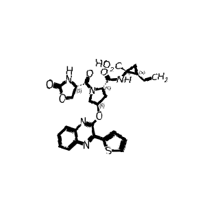 C=C[C@@H]1C[C@]1(NC(=O)[C@@H]1C[C@@H](Oc2nc3ccccc3nc2-c2cccs2)CN1C(=O)[C@@H]1COC(=O)N1)C(=O)O